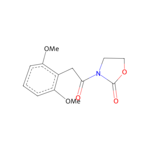 COc1cccc(OC)c1CC(=O)N1CCOC1=O